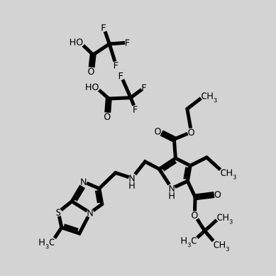 CCOC(=O)c1c(CNCc2cn3cc(C)sc3n2)[nH]c(C(=O)OC(C)(C)C)c1CC.O=C(O)C(F)(F)F.O=C(O)C(F)(F)F